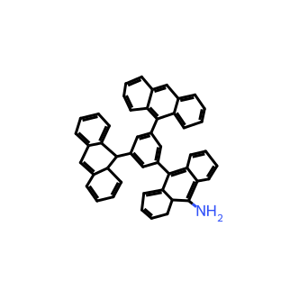 NC1=c2ccccc2=C(c2cc(-c3c4ccccc4cc4ccccc34)cc(C3c4ccccc4C=C4C=CC=CC43)c2)C2=CC=CCC21